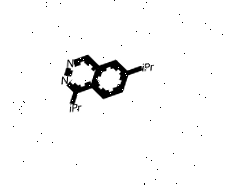 CC(C)c1ccc2c(C(C)C)nncc2c1